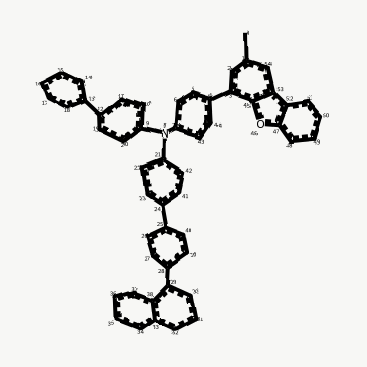 Cc1cc(-c2ccc(N(c3ccc(-c4ccccc4)cc3)c3ccc(-c4ccc(-c5cccc6ccccc56)cc4)cc3)cc2)c2oc3ccccc3c2c1